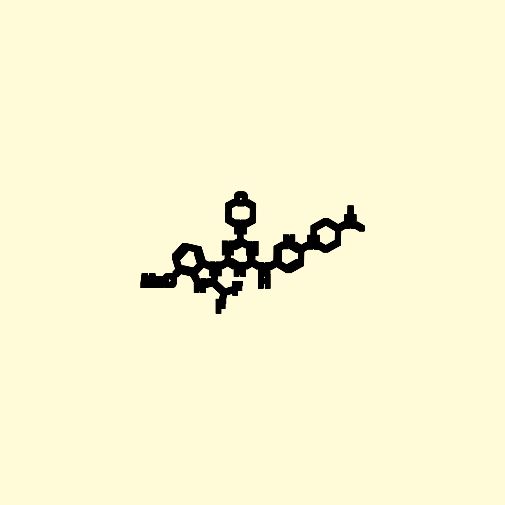 COc1cccc2c1nc(C(F)F)n2-c1nc(Nc2ccc(N3CCC(N(C)C)CC3)nc2)nc(N2CCOCC2)n1